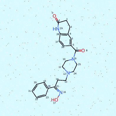 O=C1CCc2cc(C(=O)N3CCN(CCC(=NO)c4ccccc4)CC3)ccc2N1